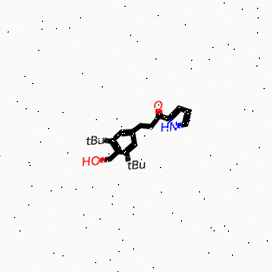 CC(C)(C)c1cc(CCC(=O)c2ccc[nH]2)cc(C(C)(C)C)c1CO